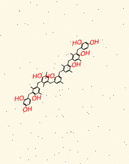 Cc1cc(Cc2cc(C)c(O)c(Cc3cc(C)c(O)c(Cc4ccc(O)cc4O)c3C)c2C)c(O)c(Cc2cc(C)c(O)c(Cc3cc(C)c(O)c(Cc4ccc(O)cc4O)c3C)c2C)c1